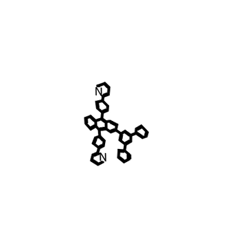 c1cccc(-c2cc(-c3ccccc3)cc(-c3ccc4c(C5=CCC(c6ccccn6)C=C5)c5ccccc5c(-c5ccc(-c6ccccn6)cc5)c4c3)c2)c#1